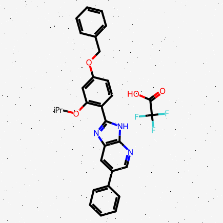 CC(C)Oc1cc(OCc2ccccc2)ccc1-c1nc2cc(-c3ccccc3)cnc2[nH]1.O=C(O)C(F)(F)F